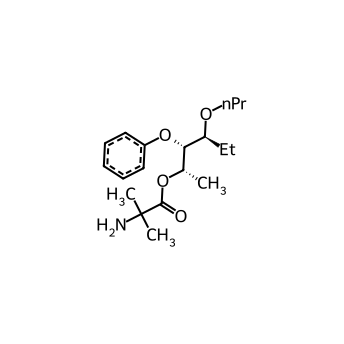 CCCO[C@@H](CC)[C@@H](Oc1ccccc1)[C@H](C)OC(=O)C(C)(C)N